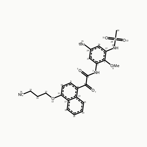 COc1c(NC(=O)C(=O)c2ccc(OCCCC#N)c3ccccc23)cc(C(C)(C)C)cc1NS(C)(=O)=O